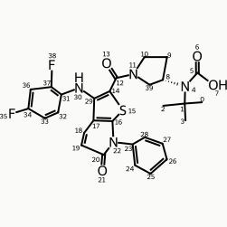 CC(C)(C)N(C(=O)O)[C@H]1CCN(C(=O)c2sc3c(ccc(=O)n3-c3ccccc3)c2Nc2ccc(F)cc2F)C1